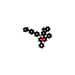 CC1(C)c2ccccc2-c2cc(-c3ccccc3-c3ccccc3)c(N(c3ccc(-c4ccc(C5CC6CCC5C6)cc4)cc3)c3ccc(C4CCCCC4)cc3)cc21